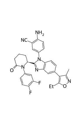 CCc1onc(C)c1-c1ccc2c(c1)nc([C@@H]1CCCC(=O)N1c1ccc(F)c(F)c1)n2-c1ccc(N)c(C#N)c1